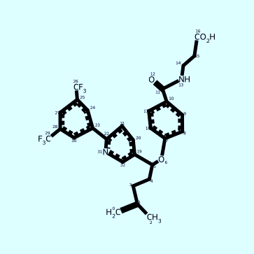 C=C(C)CCC(Oc1ccc(C(=O)NCCC(=O)O)cc1)c1ccc(-c2cc(C(F)(F)F)cc(C(F)(F)F)c2)nc1